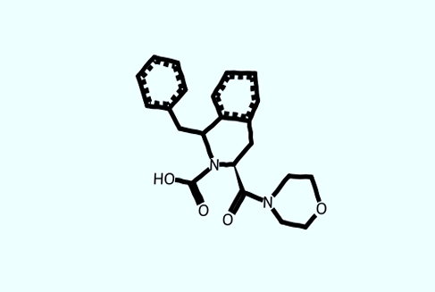 O=C([C@@H]1Cc2ccccc2C(Cc2ccccc2)N1C(=O)O)N1CCOCC1